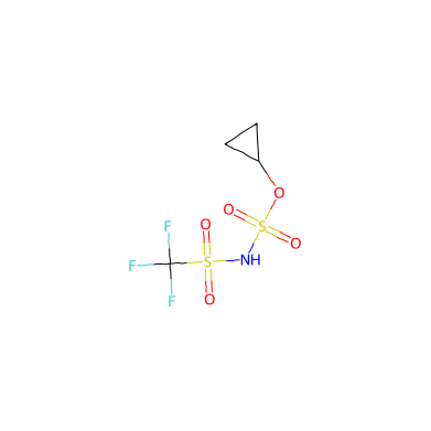 O=S(=O)(NS(=O)(=O)C(F)(F)F)OC1CC1